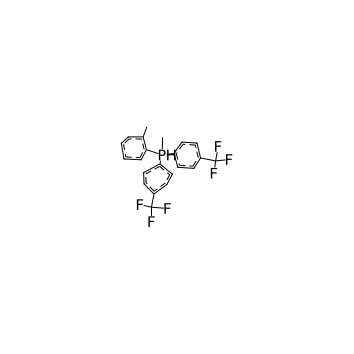 Cc1ccccc1[PH](C)(c1ccc(C(F)(F)F)cc1)c1ccc(C(F)(F)F)cc1